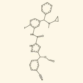 CN(C1CC1)C(c1ccccc1)c1ccc(F)c(NC(=O)c2cc(C(OC=O)c3cccc(C#N)c3)n[nH]2)c1